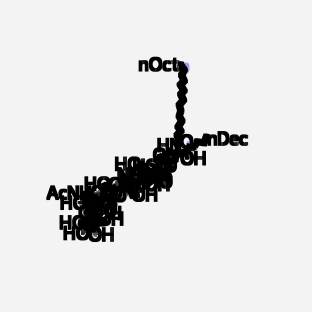 CCCCCCCC/C=C\CCCCCCCCCCCCCC(=O)N[C@@H](CO[C@@H]1OC(CO)[C@@H](O[C@@H]2OC(CO)[C@H](O[C@@H]3OC(CO)[C@H](O)[C@H](O[C@@H]4OC(CO)[C@H](O)[C@H](O[C@@H]5OC(CO)[C@@H](O[C@@H]6OC(CO)[C@H](O)[C@H](O)C6O)[C@H](O)C5NC(C)=O)C4O)C3NC(C)=O)[C@H](O)C2O)[C@H](O)C1O)[C@H](O)/C=C/CCCCCCCCCCCCC